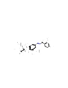 C=C(Oc1c(C)cc(/C=C/C(=O)c2ccc(Cl)cc2OC)cc1C)C(=O)O